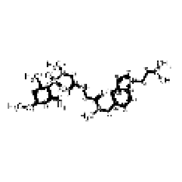 COc1cc(C)c(S(=O)(=O)N(C)CC(=O)NCC(=O)N(C)Cc2ccc3c(ccn3CCN(C)C)c2)c(C)c1